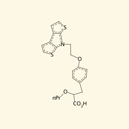 CCCOC(Cc1ccc(OCCn2c3sccc3c3ccsc32)cc1)C(=O)O